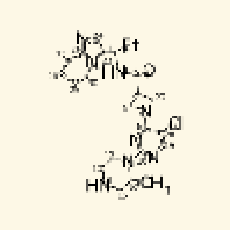 CCC(NC(=O)C1CN(c2nc(N3CCNCC3C)ncc2Cl)C1)c1cnc2ccccn12